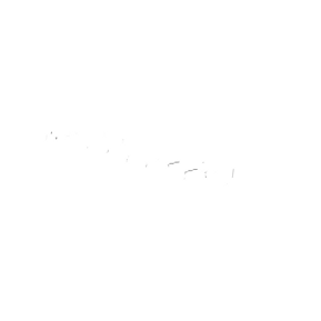 CCCCCCCCCCCCCCCCCCC=CC=CC(=O)O